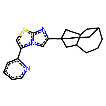 c1ccc(-c2csc3nc(C45CC6CCCC(C4)C(C6)C5)cn23)nc1